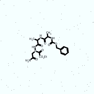 CCOC(=O)C(=O)N(CC(N)=O)NC(=O)C(C)NC(=O)C(C)NC(=O)OCc1ccccc1